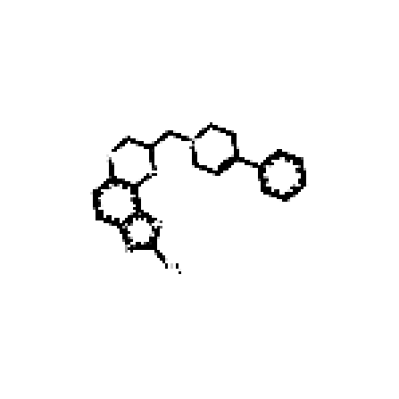 Cc1nc2ccc3c(c2o1)OC(CN1CC=C(c2ccccc2)CC1)CO3